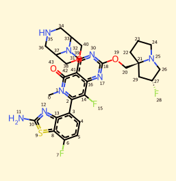 Cn1c(-c2ccc(F)c3sc(N)nc23)c(F)c2nc(OC[C@@]34CCCN3C[C@H](F)C4)nc(N3C4CNCC3COC4)c2c1=O